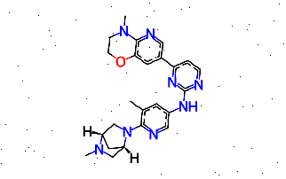 Cc1cc(Nc2nccc(-c3cnc4c(c3)OCCN4C)n2)cnc1N1C[C@@H]2C[C@H]1CN2C